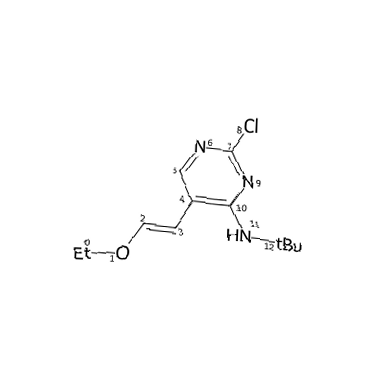 CCO/C=C/c1cnc(Cl)nc1NC(C)(C)C